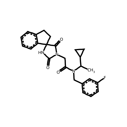 CC(C1CC1)N(Cc1cccc(F)c1)C(=O)CN1C(=O)NC2(CCc3ccccc32)C1=O